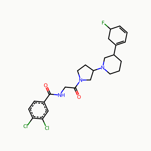 O=C(NCC(=O)N1CCC(N2CCCC(C3=CC=CC(F)C3)C2)C1)c1ccc(Cl)c(Cl)c1